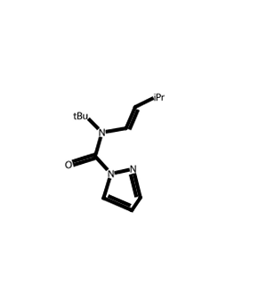 CC(C)C=CN(C(=O)n1cccn1)C(C)(C)C